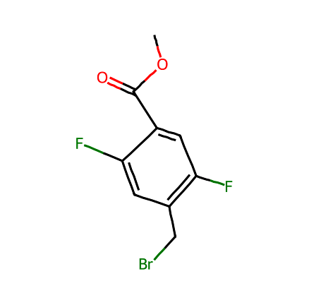 COC(=O)c1cc(F)c(CBr)cc1F